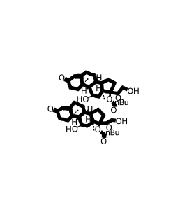 CCCCC(=O)O[C@]1(C(=O)CO)CC[C@H]2[C@@H]3CCC4=CC(=O)CC[C@]4(C)[C@H]3[C@@H](O)C[C@@]21C.CCCCC(=O)O[C@]1(C(=O)CO)CC[C@H]2[C@@H]3CCC4=CC(=O)CC[C@]4(C)[C@H]3[C@@H](O)C[C@@]21C